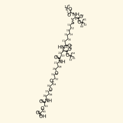 CC(C)(C)OC(=O)NC(CSCCCCCCCC(=O)NC(CCC(=O)NCCCOCCOCCOCCCNC(=O)COCC(=O)O)C(=O)OC(C)(C)C)C(=O)OC(C)(C)C